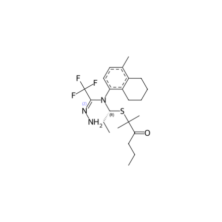 CCCC(=O)C(C)(C)S[C@H](CC)N(/C(=N\N)C(F)(F)F)c1ccc(C)c2c1CCCC2